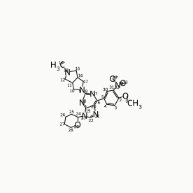 COc1ccc(-c2nc(N3CC4CN(C)CC4C3)nc3c2ncn3C2CCCCO2)cc1[N+](=O)[O-]